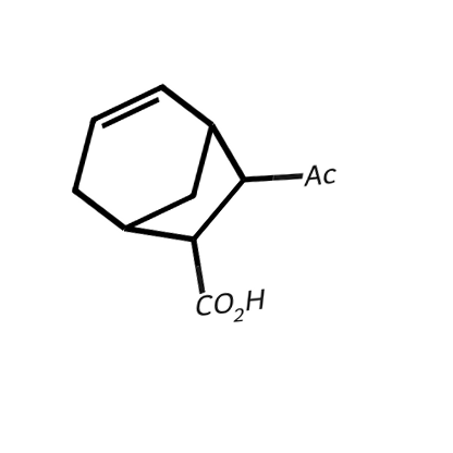 CC(=O)C1C2C=CCC(C2)C1C(=O)O